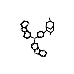 CC1CC2CC(C)C(c3ccc(N(c4ccc5oc6cccnc6c5c4)c4ccc5oc6cccnc6c5c4)cc3)C(C1)C2